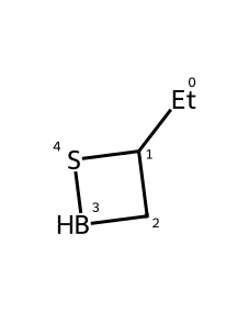 CCC1CBS1